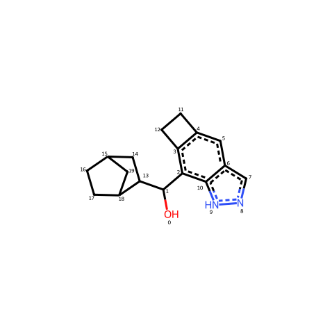 OC(c1c2c(cc3cn[nH]c13)CC2)C1CC2CCC1C2